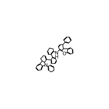 C1=CC(N2c3ccccc3C3CCC=C(c4ccccc4C4=C(NC5=C6Oc7ccccc7C6C(c6ccccc6)C=C5)CCC=C4)C32)=CCC1